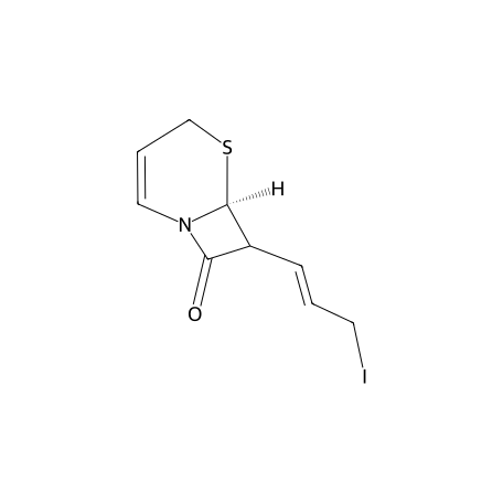 O=C1C(C=CCI)[C@@H]2SCC=CN12